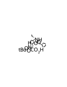 C=CC[C@H](NC(=O)OCc1ccccc1)c1cccc(CC(NC(=O)OC(C)(C)C)C(=O)O)c1